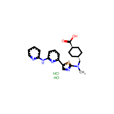 CN(C[C@H]1CC[C@H](C(=O)O)CC1)c1ncc(-c2cccc(Nc3ccccn3)n2)s1.Cl.Cl